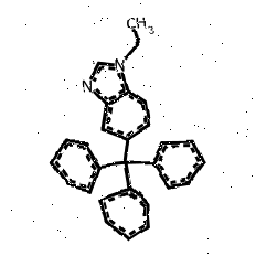 CCn1[c]nc2cc(C(c3ccccc3)(c3ccccc3)c3ccccc3)ccc21